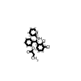 CCC(=O)Oc1ccccc1C(Nc1ccccn1)c1cccc(Cl)c1Cl